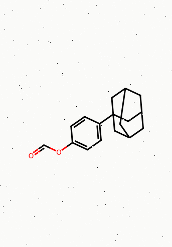 O=COc1ccc(C23CC4CC(CC(C4)C2)C3)cc1